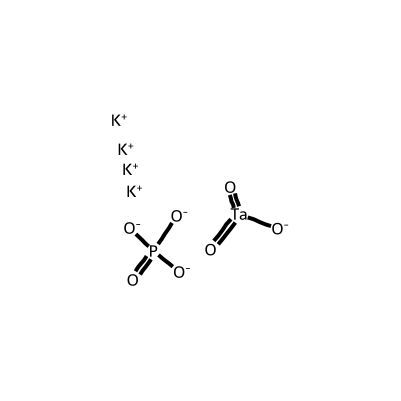 O=P([O-])([O-])[O-].[K+].[K+].[K+].[K+].[O]=[Ta](=[O])[O-]